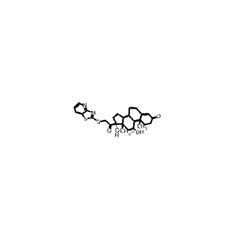 CC12CCC(=O)C=C1CCC1C2[C@@H](O)CC2(C)C1CC[C@]2(O)C(=O)CSc1nc2ncccc2s1